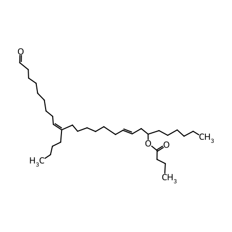 CCCCCCC(C/C=C/CCCCCC/C(=C\CCCCCCCC=O)CCCC)OC(=O)CCC